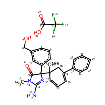 COC1(C2(c3cccc(CO)c3)N=C(N)N(C)C2=O)C=CC=C(c2ccccc2)C1.O=C(O)C(F)(F)F